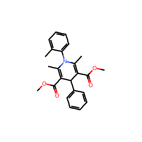 COC(=O)C1=C(C)N(c2ccccc2C)C(C)=C(C(=O)OC)C1c1ccccc1